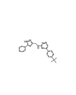 CC(C)(C)c1ccc(-c2cnnc(NCc3cc(-c4ccccc4)[nH]n3)n2)cc1